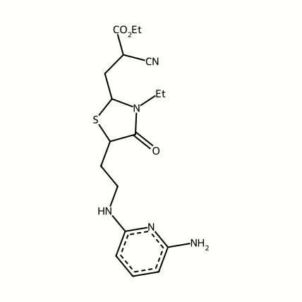 CCOC(=O)C(C#N)CC1SC(CCNc2cccc(N)n2)C(=O)N1CC